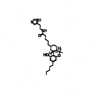 CCCCCc1cc(O)c2c(c1)OC(C)(C)[C@@H]1CCC(CCCCC(=O)NCCc3cnc[nH]3)C[C@@H]21